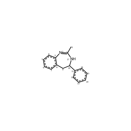 CC1=Nc2ccccc2CC(c2ccccc2)N1